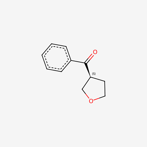 O=C(c1ccccc1)[C@H]1CCOC1